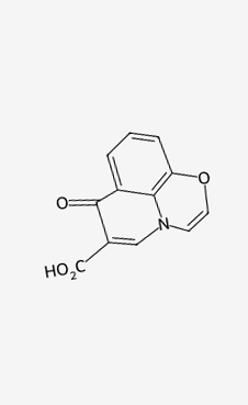 O=C(O)c1cn2c3c(cccc3c1=O)OC=C2